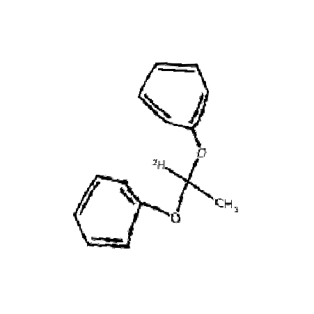 [2H]C(C)(Oc1ccccc1)Oc1ccccc1